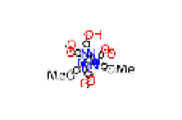 C=CC(=O)Oc1ccc(-n2c(-c3ccc(CO)cc3)nc3c2c2nc(-c4ccc(OC)cc4)n(-c4ccc(OC(=O)C=C)cc4)c2c2nc(-c4ccc(OC)cc4)n(-c4ccc(OC(=O)C=C)cc4)c32)cc1